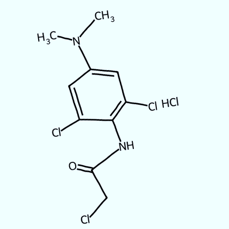 CN(C)c1cc(Cl)c(NC(=O)CCl)c(Cl)c1.Cl